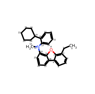 CCc1cccc2c1oc1c(N(C)c3ccccc3C3CCCCC3)cccc12